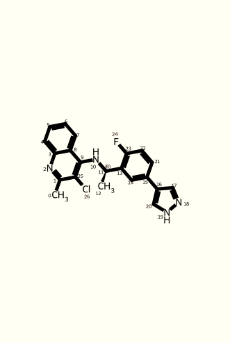 Cc1nc2ccccc2c(N[C@H](C)c2cc(-c3cn[nH]c3)ccc2F)c1Cl